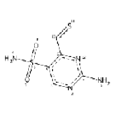 Nc1ncc(S(N)(=O)=O)c(C=S)n1